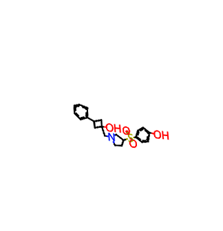 O=S(=O)(c1ccc(O)cc1)C1CCN(CC2(O)CC(c3ccccc3)C2)C1